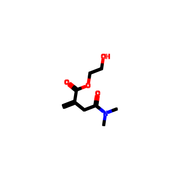 C=C(CC(=O)N(C)C)C(=O)OCCO